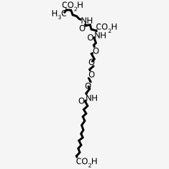 C[C@@H](CCCCNC(=O)CC[C@@H](NC(=O)CCOCCOCCOCCOCCNC(=O)CCCCCCCCCCCCCCC(=O)O)C(=O)O)C(=O)O